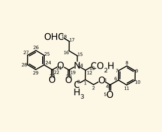 CC(COC(=O)c1ccccc1)C(C(=O)O)N(CCCC=O)C(=O)OC(=O)c1ccccc1